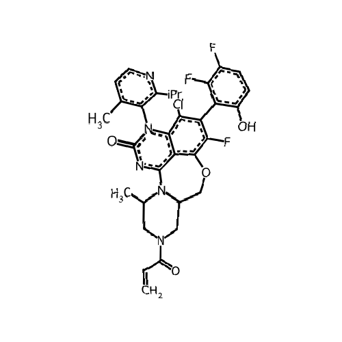 C=CC(=O)N1CC(C)N2c3nc(=O)n(-c4c(C)ccnc4C(C)C)c4c(Cl)c(-c5c(O)ccc(F)c5F)c(F)c(c34)OCC2C1